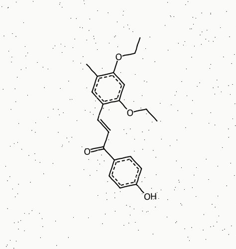 CCOc1cc(OCC)c(/C=C/C(=O)c2ccc(O)cc2)cc1C